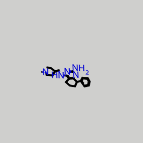 CN1CCC(CNc2nc(N)nc3c2CCCC3c2ccccc2)CC1